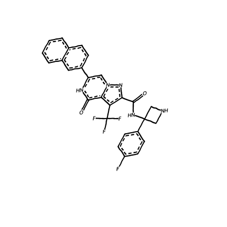 O=C(NC1(c2ccc(F)cc2)CNC1)c1nn2cc(-c3ccc4ccccc4c3)[nH]c(=O)c2c1C(F)(F)F